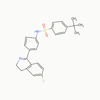 CC(C)(C)c1ccc(S(=O)(=O)Nc2ccc(C3=NCCc4cc(F)ccc43)cc2)cc1